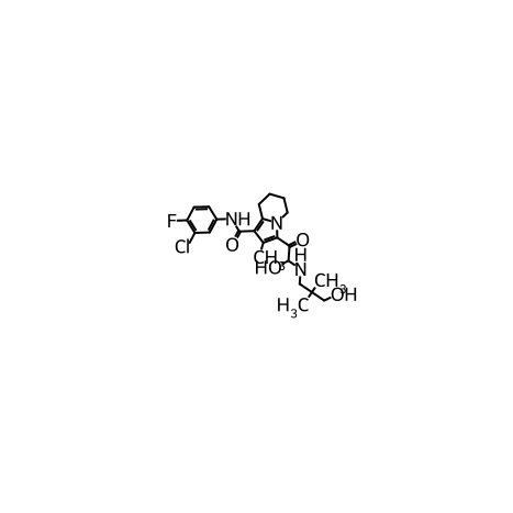 Cc1c(C(=O)Nc2ccc(F)c(Cl)c2)c2n(c1C(=O)C(O)NCC(C)(C)CO)CCCC2